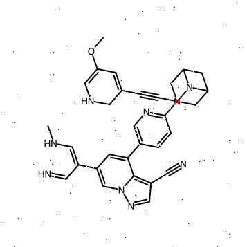 CN/C=C(\C=N)c1cc(-c2ccc(N3CC4CC(C3)N4CC#CC3=CC(OC)=CNC3)nc2)c2c(C#N)cnn2c1